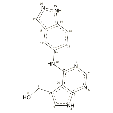 OCc1c[nH]c2ncnc(Nc3ccc4[nH]ncc4c3)c12